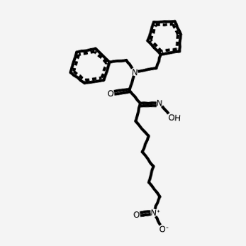 O=C(C(CCCCCC[N+](=O)[O-])=NO)N(Cc1ccccc1)Cc1ccccc1